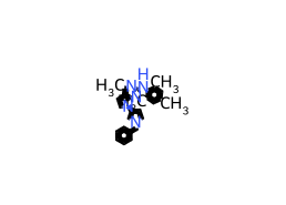 Cc1cc(C)c(Nc2nc(C)c3c(n2)N(C2CCN(Cc4ccccc4)C2)CC3)c(C)c1